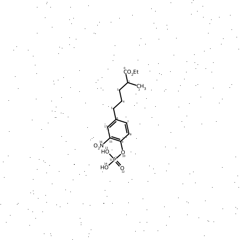 CCOC(=O)C(C)CCCc1ccc(OP(=O)(O)O)c([N+](=O)[O-])c1